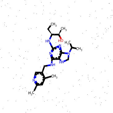 CC[C@H](Nc1nc(NCc2cnc(C)cc2C)c2c(n1)N(C(C)C)CN2)[C@@H](C)O